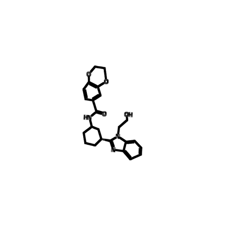 O=C(NC1CCC[C@H](c2nc3ccccc3n2CCO)C1)c1ccc2c(c1)OCCO2